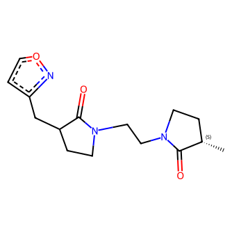 C[C@H]1CCN(CCN2CCC(Cc3ccon3)C2=O)C1=O